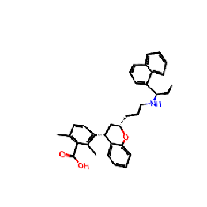 CC[C@@H](NCCC[C@H]1C[C@@H](c2ccc(C)c(C(=O)O)c2C)c2ccccc2O1)c1cccc2ccccc12